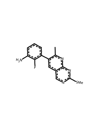 CSc1ncc2cc(-c3cccc(N)c3F)c(C)nc2n1